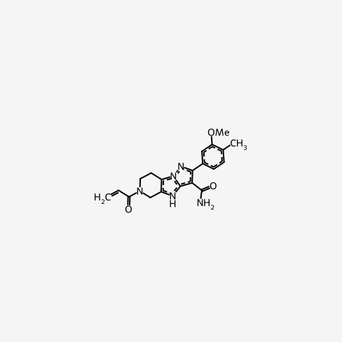 C=CC(=O)N1CCc2c([nH]c3c(C(N)=O)c(-c4ccc(C)c(OC)c4)nn23)C1